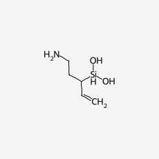 C=CC(CCN)[SiH](O)O